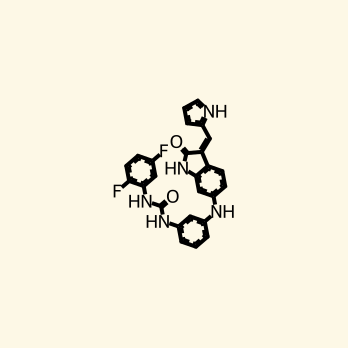 O=C(Nc1cccc(Nc2ccc3c(c2)NC(=O)C3=Cc2ccc[nH]2)c1)Nc1cc(F)ccc1F